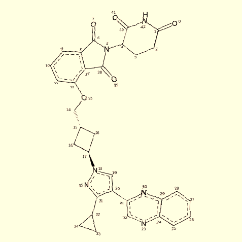 O=C1CCC(N2C(=O)c3cccc(OC[C@H]4C[C@H](n5cc(-c6cnc7ccccc7n6)c(C6CC6)n5)C4)c3C2=O)C(=O)N1